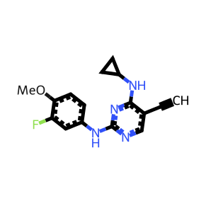 C#Cc1cnc(Nc2ccc(OC)c(F)c2)nc1NC1CC1